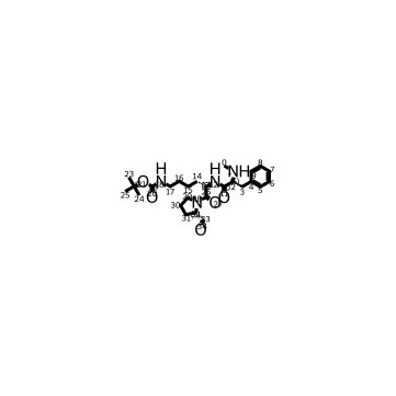 CN[C@@H](Cc1ccccc1)C(=O)N[C@@H](CCCCNC(=O)OC(C)(C)C)C(=O)N1CCC[C@H]1[C]=O